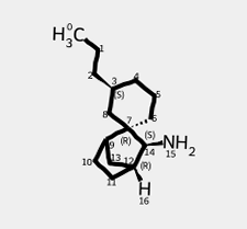 CCC[C@H]1CCC[C@@]2(C1)C1CC[C@H](C1)[C@@H]2N